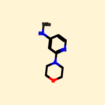 CNNc1ccnc(N2CCOCC2)c1